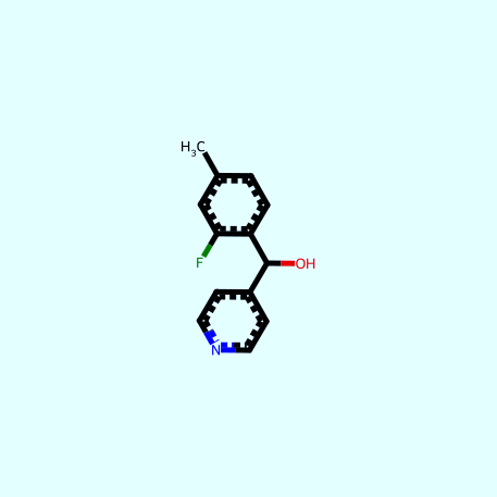 Cc1ccc(C(O)c2ccncc2)c(F)c1